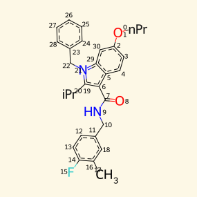 CCCOc1ccc2c(C(=O)NCc3ccc(F)c(C)c3)c(C(C)C)n(Cc3ccccc3)c2c1